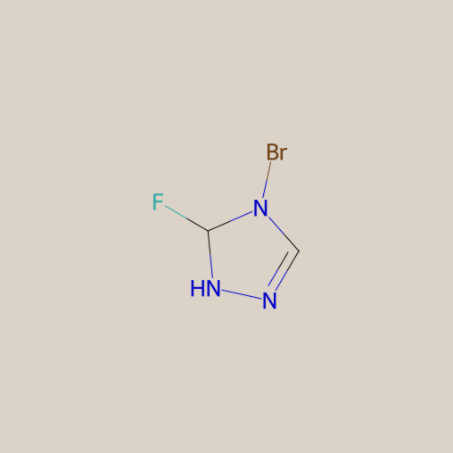 FC1NN=CN1Br